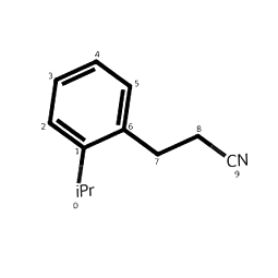 CC(C)c1ccccc1CCC#N